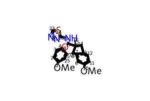 COc1cccc([C@H]2c3cc(OC)ccc3C[C@@]2(C)C(=O)Nc2nncs2)c1